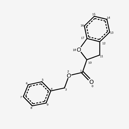 O=C(OCc1ccccc1)C1Cc2ccccc2O1